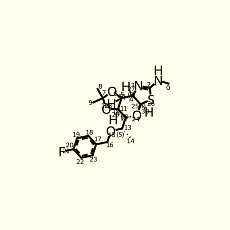 CNC1=N[C@@H]2[C@H]3OC(C)(C)O[C@@H]3[C@@H]([C@H](C)OCc3ccc(F)cc3)O[C@@H]2S1